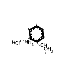 C.Cl.N.O.c1ccccc1